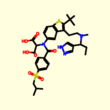 CCC(c1cn[nH]c1)N(C)CCc1c(C(C)(C)C)sc2ccc(N(C(=O)c3ccc(S(=O)(=O)CC(C)C)cc3)C(C(=O)O)C(=O)O)cc12